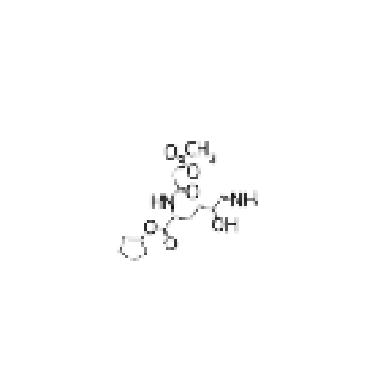 CS(=O)(=O)CC(=O)NC(CCC(O)C=N)C(=O)OC1CCCC1